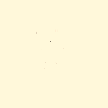 COC1CCN(c2ccncc2NC(=O)c2c(N)nn3c2NC2(CCCCCCCCCC2)C(F)C3)CC1